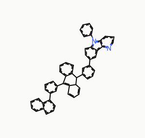 C1=CC2=C(c3cccc(-c4cccc5ccccc45)c3)c3ccccc3C(c3cccc(-c4ccc5c(c4)c4ncccc4n5-c4ccccc4)c3)C2C=C1